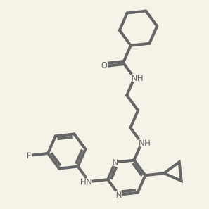 O=C(NCCCNc1nc(Nc2cccc(F)c2)ncc1C1CC1)C1CCCCC1